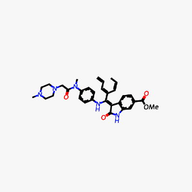 C=C/C=C(\C=C/C)C(/Nc1ccc(N(C)C(=O)CN2CCN(C)CC2)cc1)=C1/C(=O)Nc2cc(C(=O)OC)ccc21